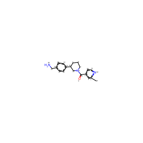 Cc1cc(C(=O)N2CCCC(c3ccc(CN)cc3)C2)ccn1